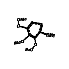 COOc1ccc(OC)c(OOC)c1OC